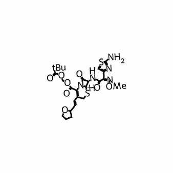 CO/N=C(\C(=O)N[C@@H]1C(=O)N2C(C(=O)OCOC(=O)C(C)(C)C)=C(/C=C/C3CCCO3)CS[C@H]12)c1csc(N)n1